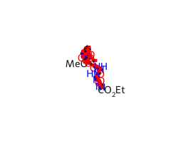 C=CCOC(=O)N1c2cc(OCCCC(=O)Nc3cn(C)c(C(=O)Nc4cc(C(=O)Oc5cn(C)c(C(=O)OCC)n5)n(C)c4)n3)c(OC)cc2C(=O)N2CCC[C@H]2C1OC1CCCCO1